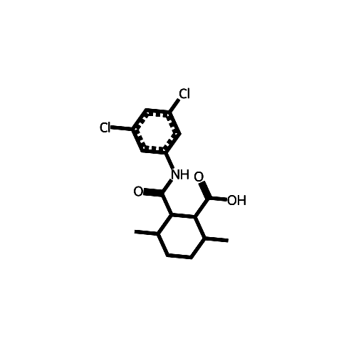 CC1CCC(C)C(C(=O)Nc2cc(Cl)cc(Cl)c2)C1C(=O)O